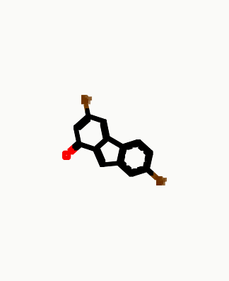 O=C1C=C(Br)C=C2C1=Cc1cc(Br)ccc12